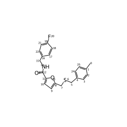 Cc1ccc(CSCc2ccc(C(=O)NCc3ccc(F)cc3)o2)cc1